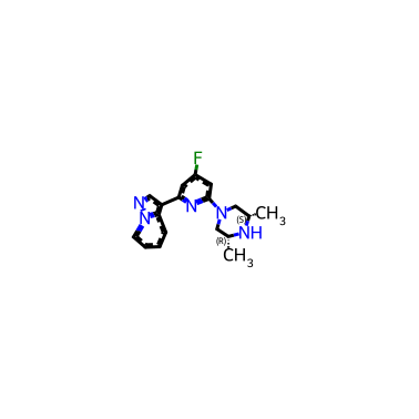 C[C@@H]1CN(c2cc(F)cc(-c3cnn4ccccc34)n2)C[C@H](C)N1